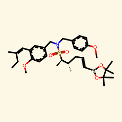 CC/C(C)=C\c1cc(CN(Cc2ccc(OC)cc2)S(=O)(=O)[C@H](C)[C@@H](C)C/C=C/B2OC(C)(C)C(C)(C)O2)ccc1OC